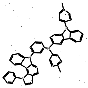 Cc1ccc(N(c2cccc(-n3c4ccccc4c4c5c(ccc43)ccn5-c3ccccc3)c2)c2ccc3c(c2)c2ccccc2n3-c2ccc(C)cc2)cc1